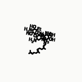 CCC1OC(OC2C(N)CC(N)C(OC3OC(C/N=C/C=C(\C)CC/C=C(\C)CCC=C(C)C)C(O)C(O)C3N)C2O)C(O)C(N)C1O